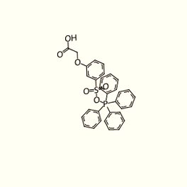 O=C(O)COc1cccc(S(=O)(=O)OP(c2ccccc2)(c2ccccc2)(c2ccccc2)c2ccccc2)c1